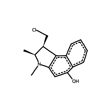 C[C@H]1[C@@H](CCl)c2c(cc(O)c3ccccc23)N1C